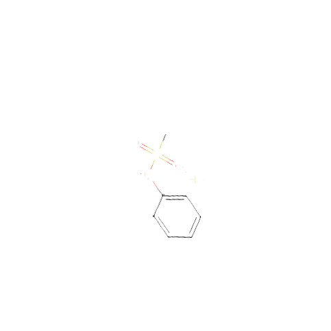 CS(=O)(=O)Oc1ccccc1.S